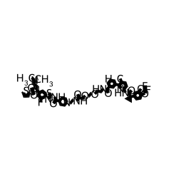 Cc1ccc(NC(=O)C2(c3ccc4c(c3)OC(F)(F)O4)CC2)nc1-c1cccc(C(=O)NCCOCCOCC(=O)NCCN2CCC(C(=O)Nc3nc4c(F)cc(N(CCN(C)C)S(=O)(=O)c5cccs5)cc4s3)CC2)c1